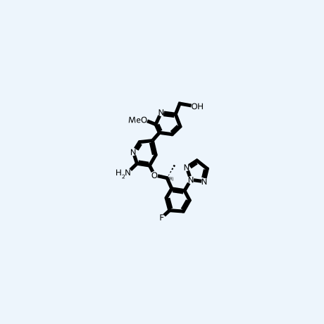 COc1nc(CO)ccc1-c1cnc(N)c(O[C@H](C)c2cc(F)ccc2-n2nccn2)c1